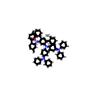 Cc1ccc2c3ccc(C)cc3n(-c3cc(-n4c5ccc(N(c6ccccc6)c6ccccc6)cc5c5cc(N(c6ccccc6)c6ccccc6)ccc54)c(-c4ccccc4C#N)cc3-c3ccccc3C#N)c2c1